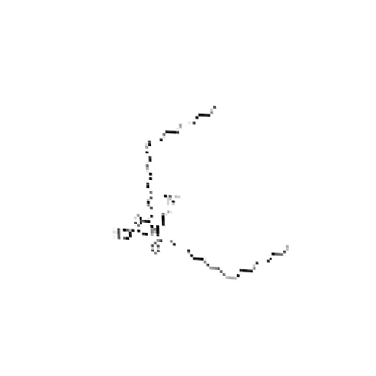 CCCCCCCC/C=C\CCCCCCCC(=O)[N+](CCO)(CCCN(C)C)C(=O)CCCCCCC/C=C\CCCCCCCC